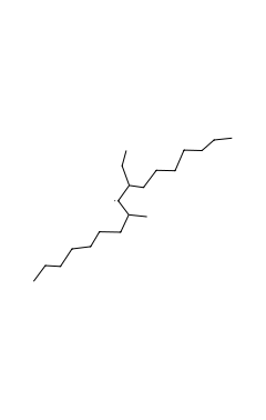 CCCCCCCC(C)[CH]C(CC)CCCCCCC